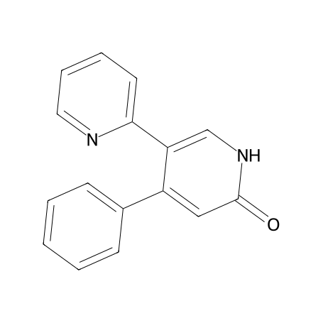 O=c1cc(-c2ccccc2)c(-c2ccccn2)c[nH]1